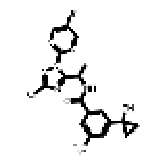 CC(NC(=O)c1cc(C(F)(F)F)cc(C2(C#N)CC2)c1)c1nc(Cl)nn1-c1ncc(Br)cn1